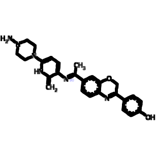 C=C1NC(N2CCN(N)CC2)=CC=C1/N=C(\C)c1ccc2c(c1)OCC(c1ccc(O)cc1)=N2